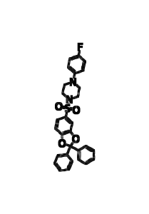 O=S(=O)(c1ccc2c(c1)OC(c1ccccc1)(c1ccccc1)O2)N1CCN(c2ccc(F)cc2)CC1